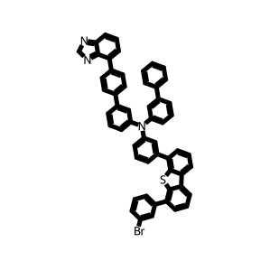 Brc1cccc(-c2cccc3c2sc2c(-c4cccc(N(c5cccc(-c6ccccc6)c5)c5cccc(-c6ccc(-c7cccc8c7=NCN=8)cc6)c5)c4)cccc23)c1